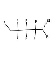 [CH2]C[C@H](F)C(F)(F)C(F)(F)C(F)(F)CF